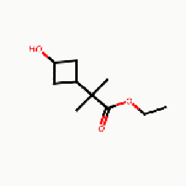 CCOC(=O)C(C)(C)C1CC(O)C1